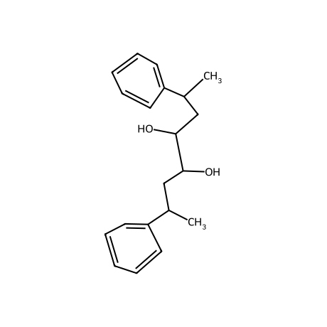 CC(CC(O)C(O)CC(C)c1ccccc1)c1ccccc1